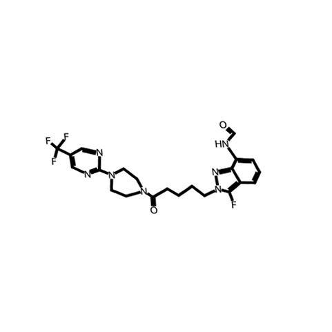 O=CNc1cccc2c(F)n(CCCCC(=O)N3CCN(c4ncc(C(F)(F)F)cn4)CC3)nc12